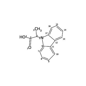 CC(C(=O)O)n1c2ccccc2c2ccccc21